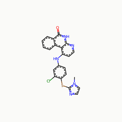 Cn1ccnc1Sc1ccc(Nc2ccnc3[nH]c(=O)c4ccccc4c23)cc1Cl